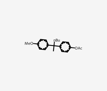 CCCCC(C)(c1ccc(OC)cc1)c1ccc(OC(C)=O)cc1